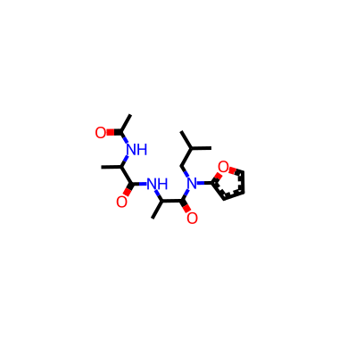 CC(=O)NC(C)C(=O)NC(C)C(=O)N(CC(C)C)c1ccco1